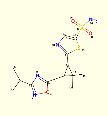 CC(C)c1noc(C2C(c3ncc(S(N)(=O)=O)s3)C2(C)C)n1